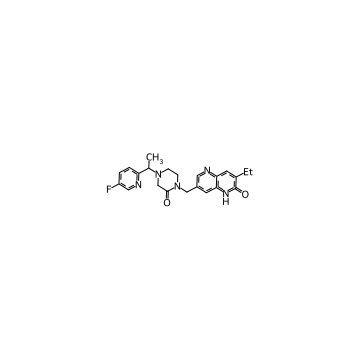 CCc1cc2ncc(CN3CCN(C(C)c4ccc(F)cn4)CC3=O)cc2[nH]c1=O